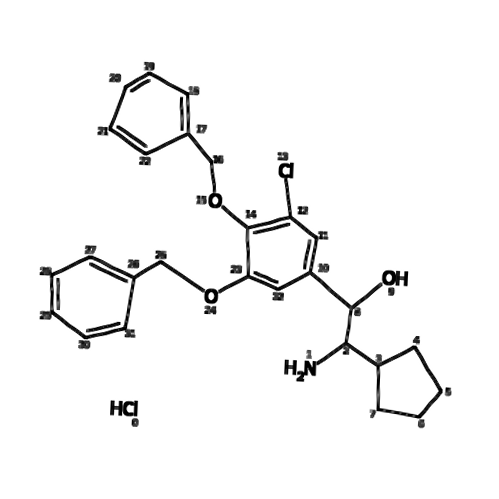 Cl.NC(C1CCCC1)C(O)c1cc(Cl)c(OCc2ccccc2)c(OCc2ccccc2)c1